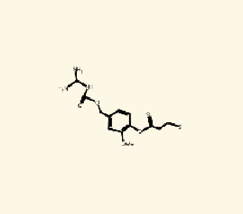 COc1cc(COC(=O)NC(N)N)ccc1OC(=O)CCS